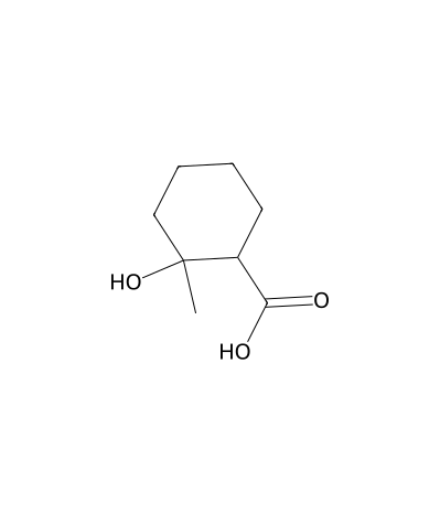 CC1(O)CCCCC1C(=O)O